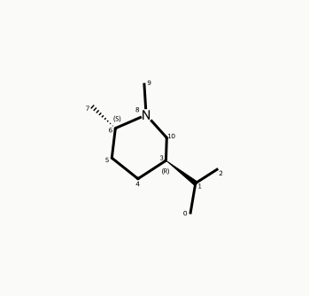 CC(C)[C@H]1CC[C@H](C)N(C)C1